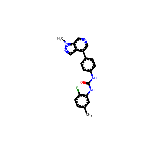 Cc1ccc(F)c(NC(=O)Nc2ccc(-c3cncc4c3cnn4C)cc2)c1